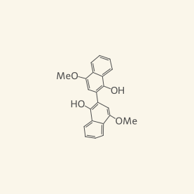 COc1cc(-c2cc(OC)c3ccccc3c2O)c(O)c2ccccc12